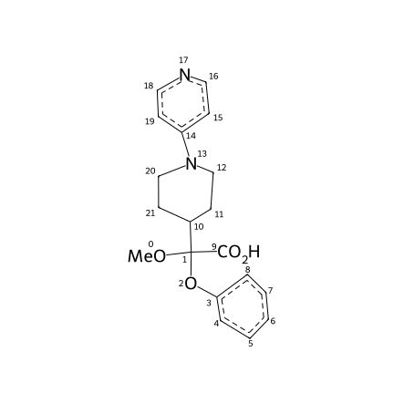 COC(Oc1ccccc1)(C(=O)O)C1CCN(c2ccncc2)CC1